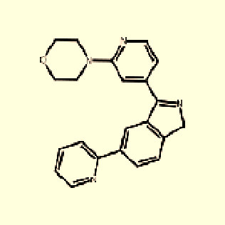 c1ccc(-c2ccc3c(c2)C(c2ccnc(N4CCOCC4)c2)=NC3)nc1